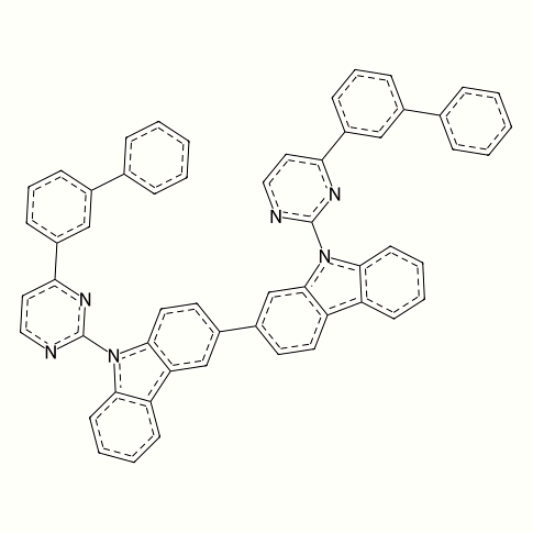 c1ccc(-c2cccc(-c3ccnc(-n4c5ccccc5c5cc(-c6ccc7c8ccccc8n(-c8nccc(-c9cccc(-c%10ccccc%10)c9)n8)c7c6)ccc54)n3)c2)cc1